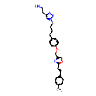 NCCc1cn(CCCCc2ccc(OCc3coc(/C=C/c4ccc(C(F)(F)F)cc4)n3)cc2)nn1